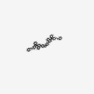 C(=C\c1ccc2c(c1)c1ccccc1n2-c1ccc(-c2ccc(Oc3ccc(-c4ccc(-n5c6ccccc6c6cc(/C=C/c7ccccc7)ccc65)c5ccccc45)cc3)cc2)c2ccccc12)/c1ccccc1